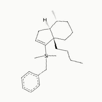 CCCC[C@]12CCC[C@@H](C)[C@@H]1CC=C2[Si](C)(C)Cc1ccccc1